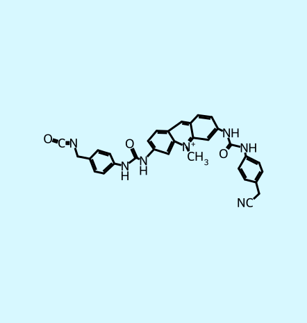 C[n+]1c2cc(NC(=O)Nc3ccc(CC#N)cc3)ccc2cc2ccc(NC(=O)Nc3ccc(CN=C=O)cc3)cc21